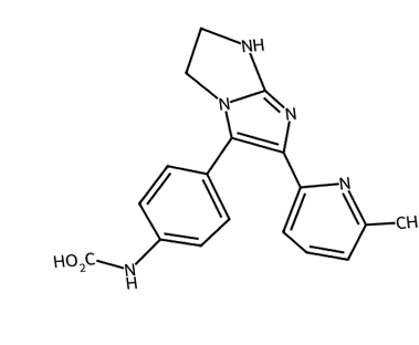 Cc1cccc(-c2nc3n(c2-c2ccc(NC(=O)O)cc2)CCN3)n1